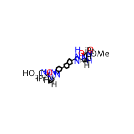 COC(=O)N[C@H](C(=O)N1[C@@H]2C[C@@H]2C[C@H]1c1nc(-c2ccc3cc(-c4ccc5[nH]c([C@@H]6C[C@H]7C[C@H]7N6C(=O)[C@H](C(C)C)N(C)C(=O)O)nc5c4)ccc3c2)c[nH]1)C(C)C